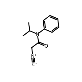 [C-]#[N+]CC(=O)N(c1ccccc1)C(C)C